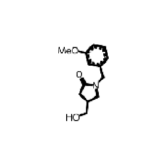 COc1cccc(CN2CC(CO)CC2=O)c1